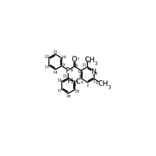 Cc1cc(C)c(C(=O)P(c2ccccc2)c2ccccc2)c(C)n1